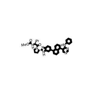 COC(=O)N[C@H](C(=O)N1CCC[C@H]1c1nc2ccc(-c3cccc4c(-c5cncnc5Nc5ccccc5)cccc34)cc2[nH]1)C(C)C